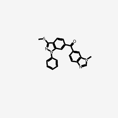 CSc1nn(-c2ccccc2)c2cc(C(=O)c3ccc4ncn(C)c4c3)ccc12